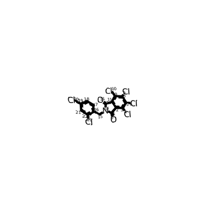 O=C1c2c(Cl)c(Cl)c(Cl)c(Cl)c2C(=O)N1Cc1ccc(Cl)cc1Cl